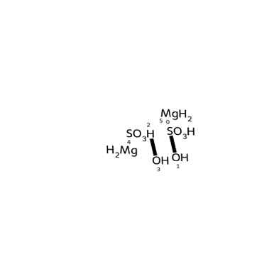 O=S(=O)(O)O.O=S(=O)(O)O.[MgH2].[MgH2]